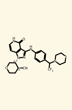 N#C[C@H]1CCOC[C@@H]1n1nc(Nc2ccc(C(N3CCSCC3)C(F)(F)F)cc2)c2c(=O)[nH]ccc21